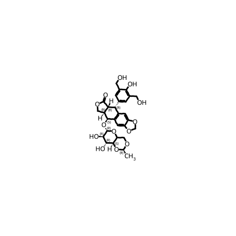 C[C@@H]1OCC2O[C@@H](O[C@@H]3c4cc5c(cc4[C@@H](c4cc(CO)c(O)c(CO)c4)[C@H]4C(=O)OC[C@@H]43)OCO5)[C@H](O)[C@@H](O)[C@@H]2O1